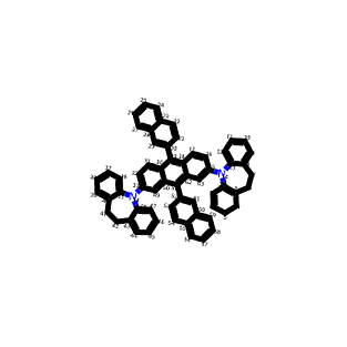 C1=CC2=C(CC1)CCc1ccccc1N2c1ccc2c(-c3ccc4ccccc4c3)c3ccc(N4c5ccccc5CCc5ccccc54)cc3c(-c3ccc4ccccc4c3)c2c1